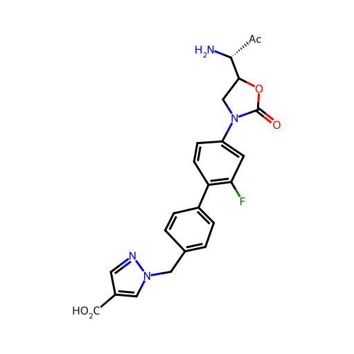 CC(=O)[C@@H](N)C1CN(c2ccc(-c3ccc(Cn4cc(C(=O)O)cn4)cc3)c(F)c2)C(=O)O1